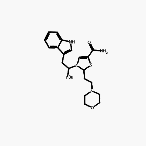 CCCCC(Cc1c[nH]c2ccccc12)N1C=C(C(N)=O)SC1CCN1CCOCC1